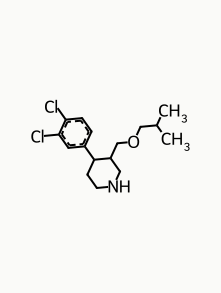 CC(C)COCC1CNCCC1c1ccc(Cl)c(Cl)c1